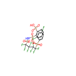 O=S(=O)(O)c1ccccc1S(=O)(=O)NS(=O)(=O)C(F)(F)C(F)(F)C(F)(F)C(F)(F)S(=O)(=O)c1ccc(F)cc1F